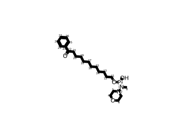 CN(N1CCOCC1)P(O)OCCCCCCCCCCCC(=O)c1ccccc1